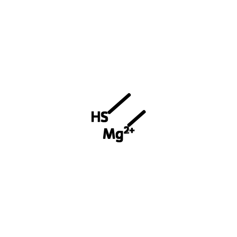 CS.[CH3][Mg+2]